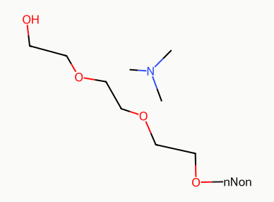 CCCCCCCCCOCCOCCOCCO.CN(C)C